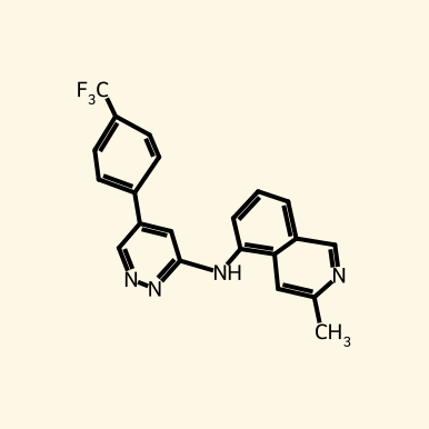 Cc1cc2c(Nc3cc(-c4ccc(C(F)(F)F)cc4)cnn3)cccc2cn1